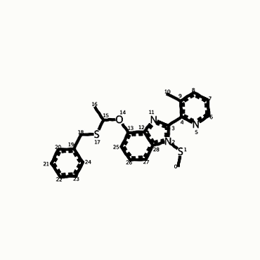 CSn1c(-c2ncccc2C)nc2c(OC(C)SCc3ccccc3)cccc21